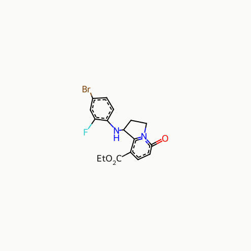 CCOC(=O)c1ccc(=O)n2c1C(Nc1ccc(Br)cc1F)CC2